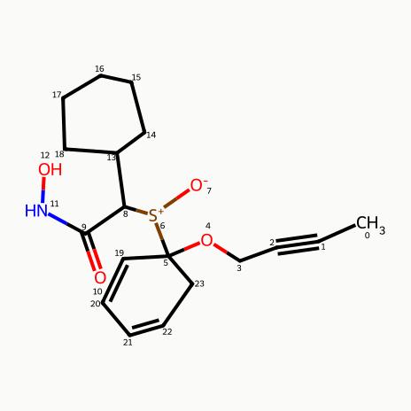 CC#CCOC1([S+]([O-])C(C(=O)NO)C2CCCCC2)C=CC=CC1